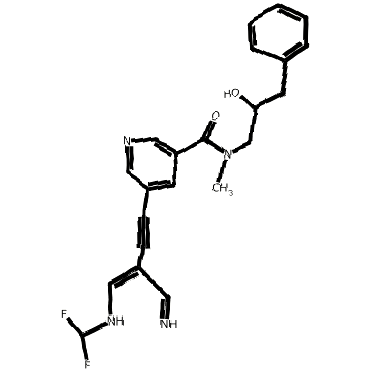 CN(CC(O)Cc1ccccc1)C(=O)c1cncc(C#C/C(C=N)=C/NC(F)F)c1